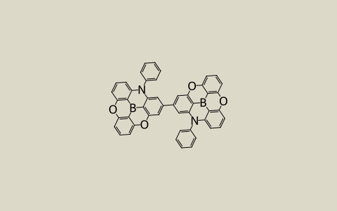 c1ccc(N2c3cccc4c3B3c5c(cccc5Oc5cc(-c6cc7c8c(c6)N(c6ccccc6)c6cccc9c6B8c6c(cccc6O7)O9)cc2c53)O4)cc1